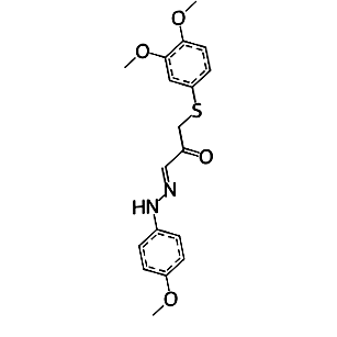 COc1ccc(NN=CC(=O)CSc2ccc(OC)c(OC)c2)cc1